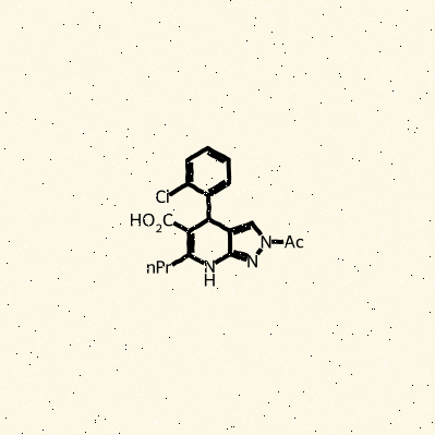 CCCC1=C(C(=O)O)C(c2ccccc2Cl)c2cn(C(C)=O)nc2N1